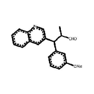 COc1cccc(C(c2cnc3ccccc3c2)C(C)C=O)c1